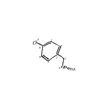 [CH2]CCCCCc1ccc(Cl)cc1